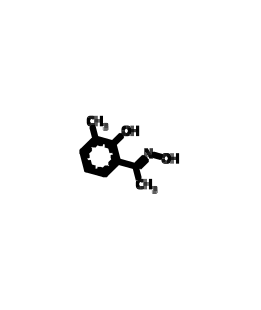 CC(=NO)c1cccc(C)c1O